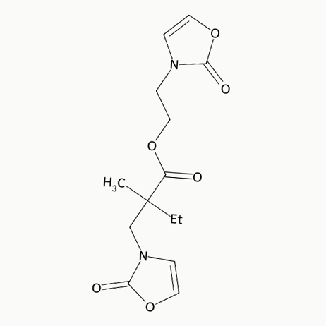 CCC(C)(Cn1ccoc1=O)C(=O)OCCn1ccoc1=O